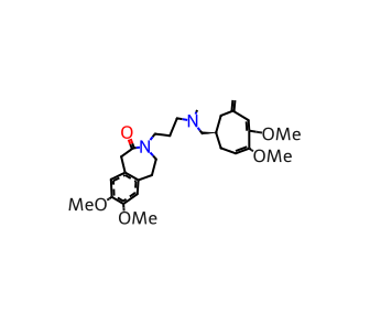 C=C1/C=C(OC)\C(OC)=C/C[C@@H](CN(C)CCCN2CCc3cc(OC)c(OC)cc3CC2=O)C1